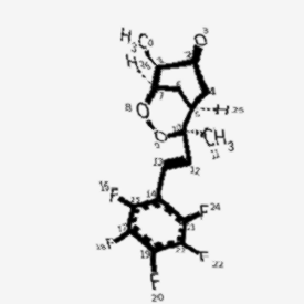 C[C@H]1C(=O)C[C@@H]2C[C@H]1OO[C@]2(C)C=Cc1c(F)c(F)c(F)c(F)c1F